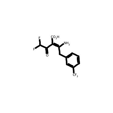 NC(Cc1cccc(C(F)(F)F)c1)=C(C(=O)O)C(=O)C(F)F